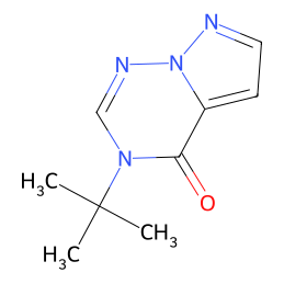 CC(C)(C)n1cnn2nccc2c1=O